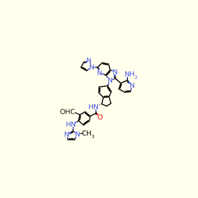 Cn1ccnc1Nc1ccc(C(=O)N[C@H]2CCc3cc(-n4c(-c5cccnc5N)nc5ccc(-n6cccn6)nc54)ccc32)cc1C=O